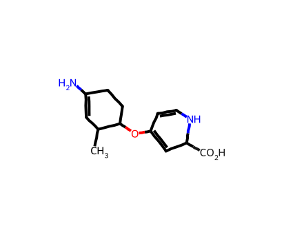 CC1C=C(N)CCC1OC1=CC(C(=O)O)NC=C1